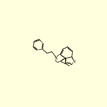 CC1CCN(CCc2ccccc2)C2=CC=CC3=NC=CC231